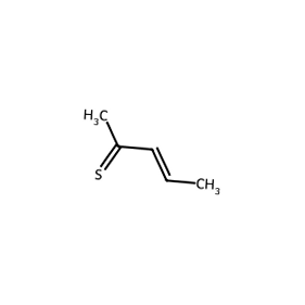 CC=CC(C)=S